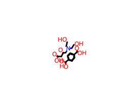 O=C(O)CC(=O)CN(CCO)CCO.O=C(O)c1ccc(C(=O)O)cc1